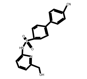 N#Cc1ccc(-c2ccc(S(=O)(=O)Nc3cccc(CO)n3)cc2)cc1